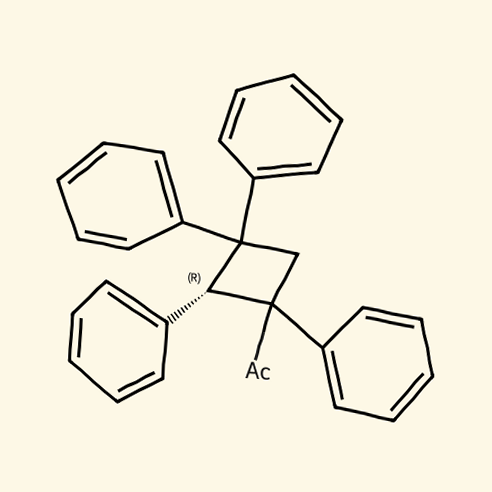 CC(=O)C1(c2ccccc2)CC(c2ccccc2)(c2ccccc2)[C@H]1c1ccccc1